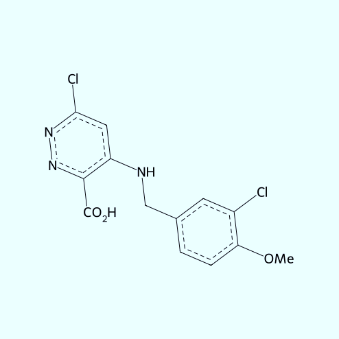 COc1ccc(CNc2cc(Cl)nnc2C(=O)O)cc1Cl